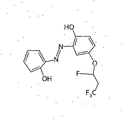 Oc1ccccc1N=Nc1cc(OC(F)CC(F)(F)F)ccc1O